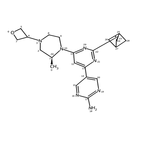 C[C@H]1CN(C2COC2)CCN1c1cc(-c2cnc(N)nc2)nc(N2CC3CC2C3)n1